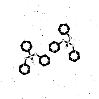 O=P(Oc1ccccc1)(Oc1ccccc1)Oc1ccccc1.O=P(Oc1ccccc1)(Oc1ccccc1)c1ccccc1